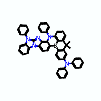 CC1(C)c2cc(N(c3ccccc3)c3ccccc3)ccc2B2c3ccc4c(nc5n(-c6ccccc6)c6ccccc6n45)c3N(c3ccccc3)c3cccc1c32